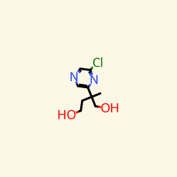 CC(CO)(CCO)c1cncc(Cl)n1